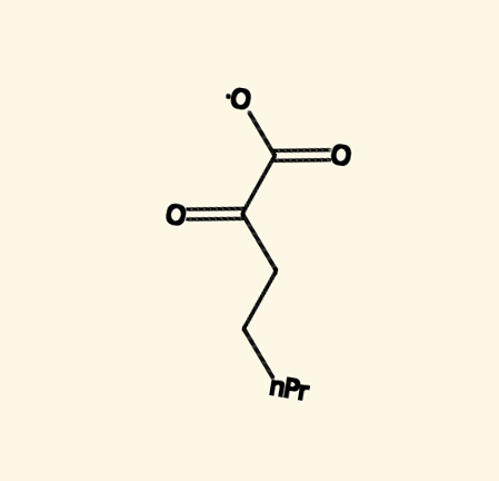 CCCCCC(=O)C([O])=O